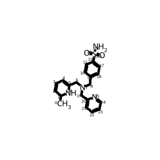 CC1C=CC=C(CN(Cc2ccc(S(N)(=O)=O)cc2)Cc2ccccn2)N1